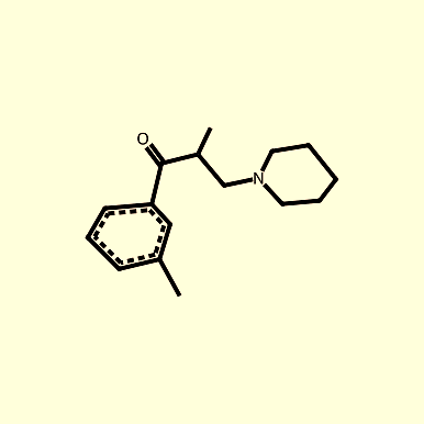 Cc1cccc(C(=O)C(C)CN2CCCCC2)c1